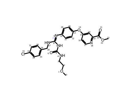 COCCNC(=O)N/C(=N\c1ccc(Oc2ccnc(C(=O)OC)c2)cc1)NCc1ccc(Cl)cc1